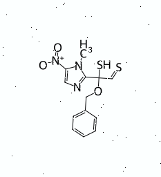 Cn1c([N+](=O)[O-])cnc1C(S)(C=S)OCc1ccccc1